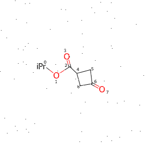 CC(C)OC(=O)C1CC(=O)C1